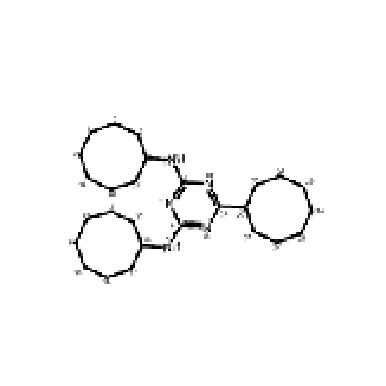 C1CCCC(Nc2nc(NC3CCCCCCC3)nc(C3CCCCCCC3)n2)CCC1